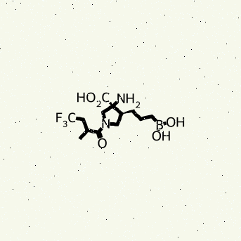 CC(CC(F)(F)F)C(=O)N1C[C@H](CCCB(O)O)[C@](N)(C(=O)O)C1